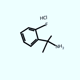 CC(C)(N)c1ccccc1F.Cl